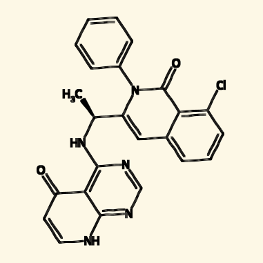 C[C@H](Nc1ncnc2[nH]ccc(=O)c12)c1cc2cccc(Cl)c2c(=O)n1-c1ccccc1